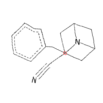 N#CC1CC2CC(C1)N2Cc1ccccc1